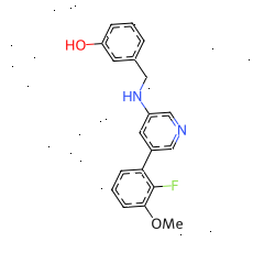 COc1cccc(-c2cncc(NCc3cccc(O)c3)c2)c1F